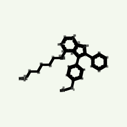 CCCOc1ccc(-c2c(-c3ccccc3)oc3ncnc(NCCCCCC(=O)O)c23)cc1